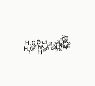 CCC(C)C(=O)N[C@H]1CC[C@H](CCN2CCN(c3nccc4c3CCO4)CC2)CC1